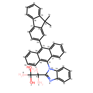 BC(O)(O)C(B)(B)c1nc2ccccc2n1-c1c2ccccc2c(-c2ccc3c(c2)C(C)(C)c2ccccc2-3)c2ccccc12